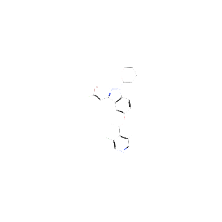 C[C@@H](Oc1ccc2c(c1)c(C=C(F)Br)nn2C1CCCCO1)c1c(Cl)cncc1Cl